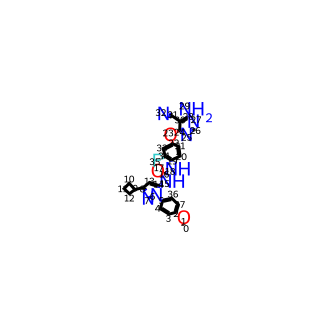 COc1ccc(-n2nc(C3CCC3)cc2NC(=O)Nc2ccc(Oc3ncnc(N)c3C#N)cc2F)cc1